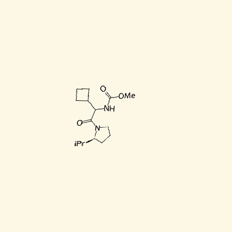 COC(=O)NC(C(=O)N1CCC[C@H]1C(C)C)C1CCC1